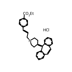 CCOC(=O)c1ccc(C=CCN2CCC(=C3c4ccccc4C=Cc4ccccc43)CC2)cc1.Cl